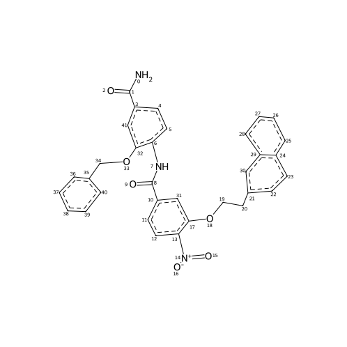 NC(=O)c1ccc(NC(=O)c2ccc([N+](=O)[O-])c(OCCc3ccc4ccccc4c3)c2)c(OCc2ccccc2)c1